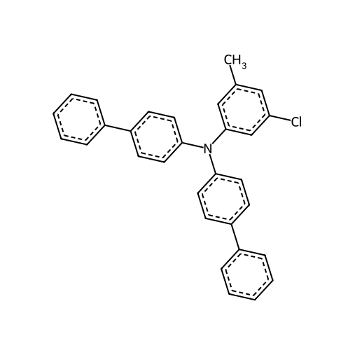 Cc1cc(Cl)cc(N(c2ccc(-c3ccccc3)cc2)c2ccc(-c3ccccc3)cc2)c1